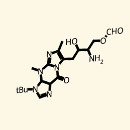 Cc1nc2n(c1CC(O)C(N)COC=O)C(=O)C1N=CN(C(C)(C)C)C1N2C